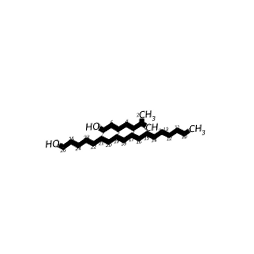 CC(C)CCCCCO.CCCCCCCCCCCCCCCCCCO